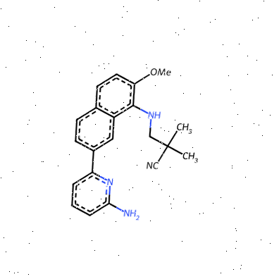 COc1ccc2ccc(-c3cccc(N)n3)cc2c1NCC(C)(C)C#N